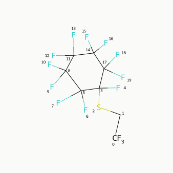 FC(F)(F)CSC1(F)C(F)(F)C(F)(F)C(F)(F)C(F)(F)C1(F)F